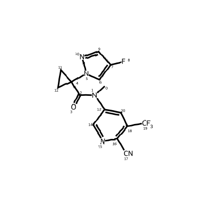 CN(C(=O)C1(n2cc(F)cn2)CC1)c1cnc(C#N)c(C(F)(F)F)c1